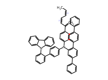 C=C(/C=C\C=C/C)c1ccc(N(c2ccc(-c3ccccc3-n3c4ccccc4c4ccccc43)cc2)c2cc(-c3ccccc3)ccc2-c2ccc(-c3ccccc3)cc2)cc1